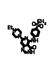 CCN1CCN(c2cc3nc[nH]c(=O)c3c(Nc3ccc(S(C)(=O)=O)cc3)n2)CC1